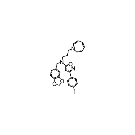 Ic1ccc(-c2cc(N(CCCN3C=CC=CC=C3)Cc3ccc4c(c3)OCO4)on2)cc1